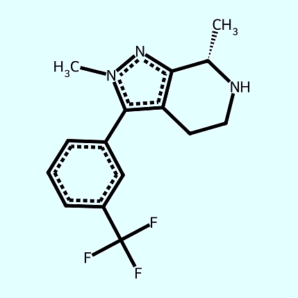 C[C@@H]1NCCc2c1nn(C)c2-c1cccc(C(F)(F)F)c1